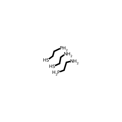 NCCP.NCCS.PCCS